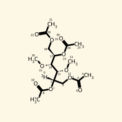 [2H][C@@](COC(C)=O)(OC(C)=O)[C@@H](OC)[C@H](OC)[C@@H](COC(C)=O)OC(C)=O